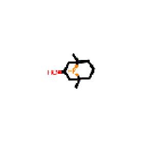 CC12CCCC(C)(CC(O)C1)P2